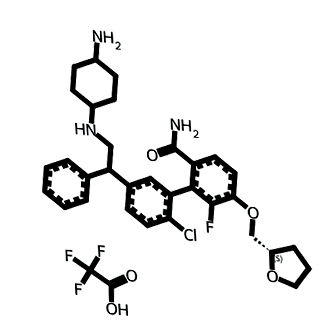 NC(=O)c1ccc(OC[C@@H]2CCCO2)c(F)c1-c1cc(C(CNC2CCC(N)CC2)c2ccccc2)ccc1Cl.O=C(O)C(F)(F)F